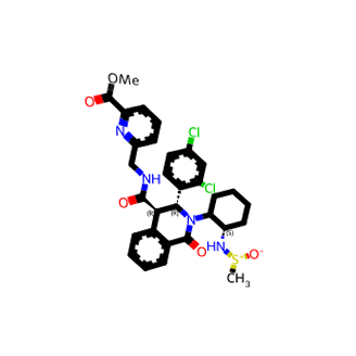 COC(=O)c1cccc(CNC(=O)[C@@H]2c3ccccc3C(=O)N(C3CCCC[C@@H]3N[S+](C)[O-])[C@H]2c2ccc(Cl)cc2Cl)n1